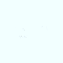 CN[C@H](COCc1ccccc1)CN1CCOCC1